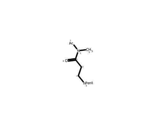 CCCCCCCC(=O)N(C)C(C)=O